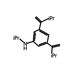 C=C(c1cc(NC(C)C)cc(C(=C)C(C)C)c1)C(C)C